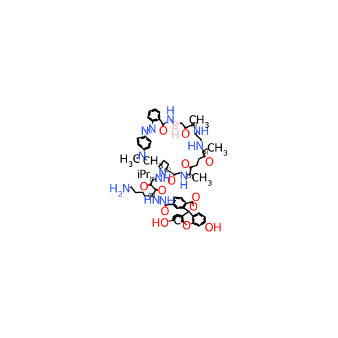 CC(C)[C@H](NN1CCC[C@H]1C(=O)CN[C@@H](C)C(=O)CCC(=O)[C@H](C)NCCN[C@@H](C)C(=O)CBNC(=O)c1ccccc1/N=N/c1ccc(N(C)C)cc1)C(=O)C(=O)[C@H](CCCCN)NNC(=O)c1ccc2c(c1)C1(OC2=O)c2ccc(O)cc2Oc2cc(O)ccc21